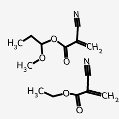 C=C(C#N)C(=O)OC(CC)OC.C=C(C#N)C(=O)OCC